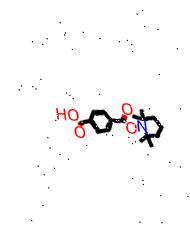 CC1(C)CCCC(C)(C)N1OC(=O)c1ccc(C(=O)O)cc1